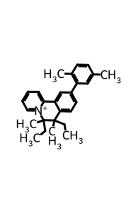 CCC1(C)c2ccc(-c3cc(C)ccc3C)cc2-c2cccc[n+]2C1(C)CC